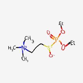 CCOP(=O)(OCC)[S+]([O-])CC[N+](C)(C)C